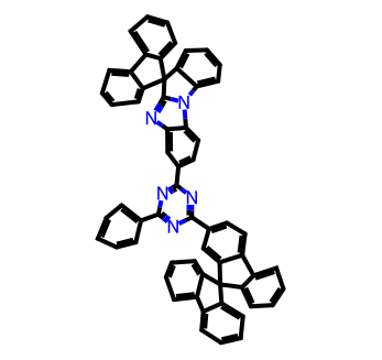 c1ccc(-c2nc(-c3ccc4c(c3)C3(c5ccccc5-c5ccccc53)c3ccccc3-4)nc(-c3ccc4c(c3)nc3n4-c4ccccc4C34c3ccccc3-c3ccccc34)n2)cc1